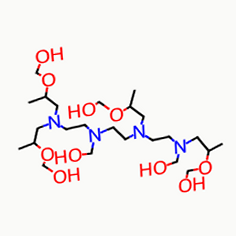 CC(CN(CO)CCN(CCN(CO)CCN(CC(C)OCO)CC(C)OCO)CC(C)OCO)OCO